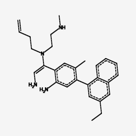 C=CCCN(CCNC)/C(=C/N)c1cc(C)c(-c2cc(CC)cc3ccccc23)cc1N